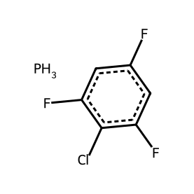 Fc1cc(F)c(Cl)c(F)c1.P